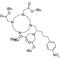 CC(C)(C)CN1CCN(CC(=O)OC(C)(C)C)CCN(CC(=O)OC(C)(C)C)CCN(CC(CCCc2ccc([N+](=O)[O-])cc2)N(CC(=O)OC(C)(C)C)CC(=O)OC(C)(C)C)CC1